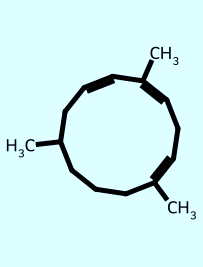 CC1=CCC=C(C)CCCC(C)CC=C1